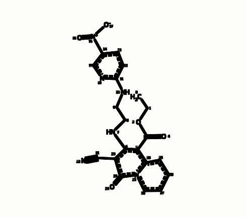 CCOC(=O)c1c(NCCNc2ccc([N+](=O)[O-])cn2)c(C#N)c(=O)n2ccccc12